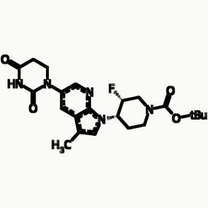 Cc1cn([C@H]2CCN(C(=O)OC(C)(C)C)C[C@H]2F)c2ncc(N3CCC(=O)NC3=O)cc12